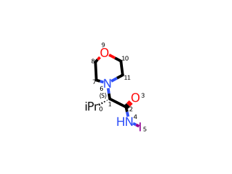 CC(C)[C@@H](C(=O)NI)N1CCOCC1